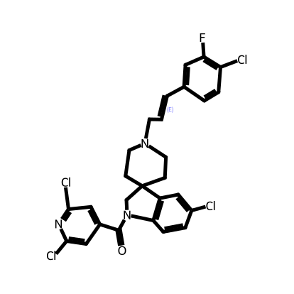 O=C(c1cc(Cl)nc(Cl)c1)N1CC2(CCN(C/C=C/c3ccc(Cl)c(F)c3)CC2)c2cc(Cl)ccc21